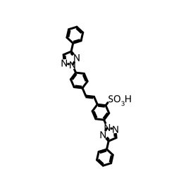 O=S(=O)(O)c1cc(-n2ncc(-c3ccccc3)n2)ccc1C=Cc1ccc(-n2ncc(-c3ccccc3)n2)cc1